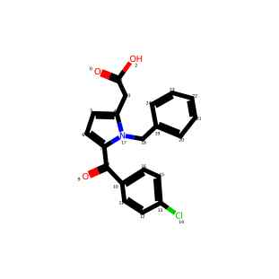 O=C(O)Cc1ccc(C(=O)c2ccc(Cl)cc2)n1Cc1ccccc1